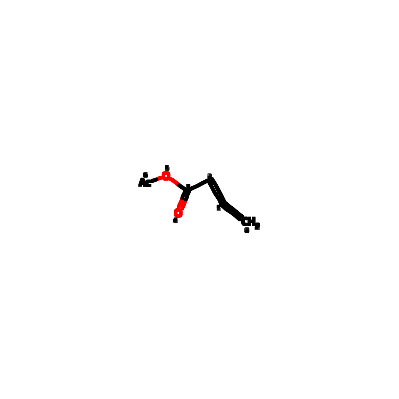 C=C=CC(=O)OC(C)=O